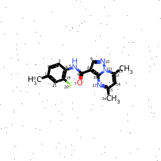 Cc1ccc(NC(=O)c2cnn3c(C)cc(C)nc23)c(F)c1